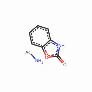 CC(N)=O.O=c1[nH]c2ccccc2o1